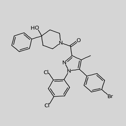 Cc1c(C(=O)N2CCC(O)(c3ccccc3)CC2)nn(-c2ccc(Cl)cc2Cl)c1-c1ccc(Br)cc1